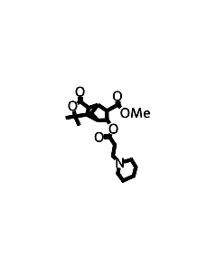 COC(=O)C1C2CC(C1OC(=O)CCN1CCCCC1)C1C2C(=O)OC1(C)C